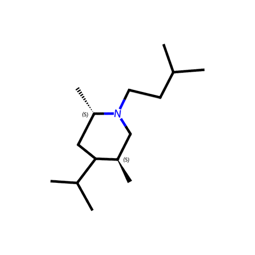 CC(C)CCN1C[C@@H](C)C(C(C)C)C[C@@H]1C